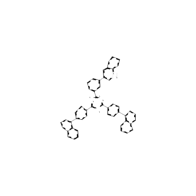 c1cc(-c2cnc3ccccc3c2)cc(-c2nc(-c3ccc(-c4cccc5ccccc45)cc3)nc(-c3ccc(-c4cccc5ccccc45)cc3)n2)c1